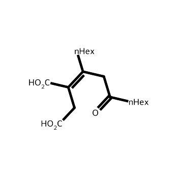 CCCCCCC(=O)CC(CCCCCC)=C(CC(=O)O)C(=O)O